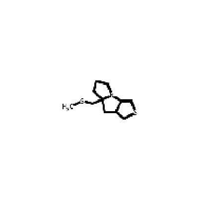 CSCC12CCCN1C1CSCC1C2